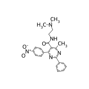 Cc1nc(-c2ccccc2)nc(-c2ccc([N+](=O)[O-])cc2)c1C(=O)NCCN(C)C